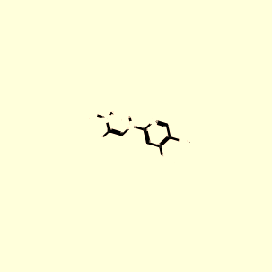 Cc1cc(N(C=O)/C=C(/C=O)N(C)C)ncc1C#N